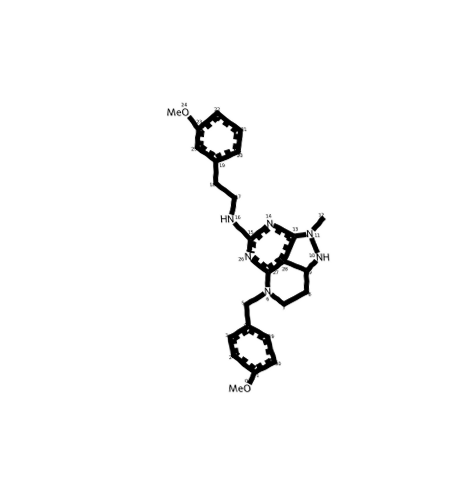 COc1ccc(CN2CCC3NN(C)c4nc(NCCc5cccc(OC)c5)nc2c43)cc1